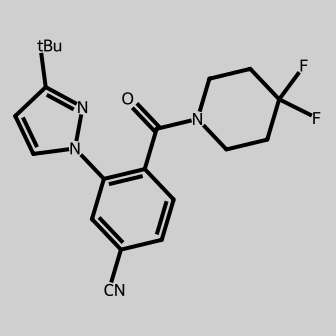 CC(C)(C)c1ccn(-c2cc(C#N)ccc2C(=O)N2CCC(F)(F)CC2)n1